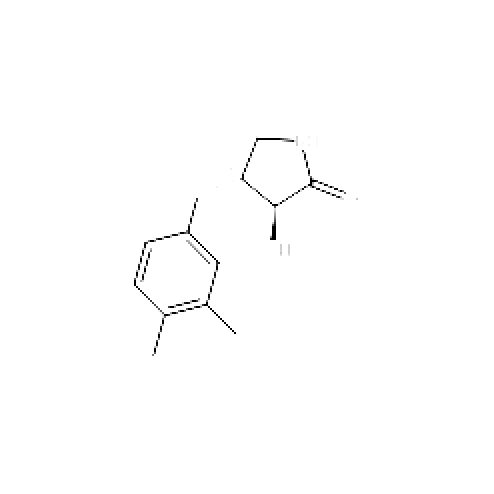 Cc1ccc(O[C@@H]2CNC(=O)[C@H]2O)cc1C